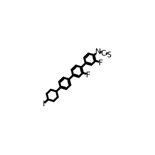 Fc1cc(-c2ccc(-c3ccc(C4CCC(I)CC4)cc3)cc2F)ccc1N=C=S